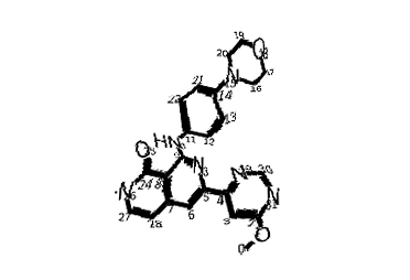 COc1cc(-c2cc3c(c(Nc4ccc(N5CCOCC5)cc4)n2)C(=O)[N]C=C3)ncn1